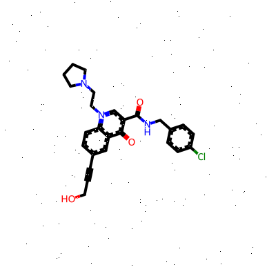 O=C(NCc1ccc(Cl)cc1)c1cn(CCN2CCCC2)c2ccc(C#CCO)cc2c1=O